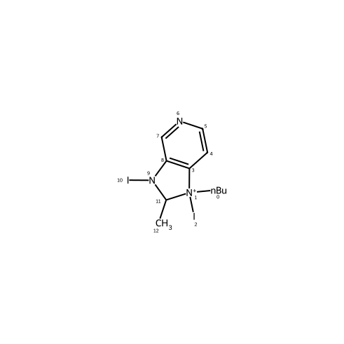 CCCC[N+]1(I)c2ccncc2N(I)C1C